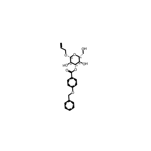 C=CCO[C@@H]1O[C@H](CO)[C@@H](O)[C@H](OC(=O)c2ccc(OCc3ccccc3)cc2)[C@H]1O